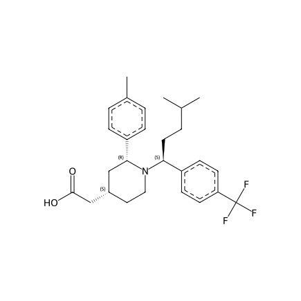 Cc1ccc([C@H]2C[C@@H](CC(=O)O)CCN2[C@@H](CCC(C)C)c2ccc(C(F)(F)F)cc2)cc1